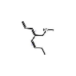 C=C/C=C(\C=C/CC)CNC